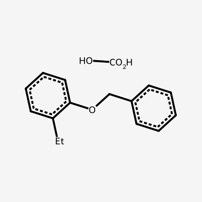 CCc1ccccc1OCc1ccccc1.O=C(O)O